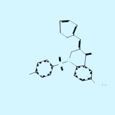 COc1ccc2c(c1)C(=O)C(=CC1=CC=CCC1)CN2S(=O)(=O)c1ccc(C)cc1